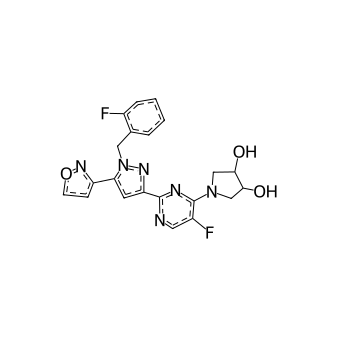 OC1CN(c2nc(-c3cc(-c4ccon4)n(Cc4ccccc4F)n3)ncc2F)CC1O